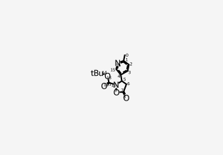 Cc1ccc(C2CC(=O)ON2C(=O)OC(C)(C)C)cn1